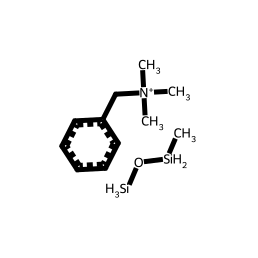 C[N+](C)(C)Cc1ccccc1.C[SiH2]O[SiH3]